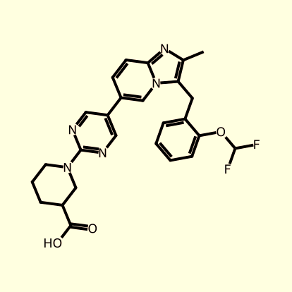 Cc1nc2ccc(-c3cnc(N4CCCC(C(=O)O)C4)nc3)cn2c1Cc1ccccc1OC(F)F